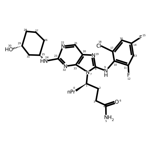 CCC[C@H](CCC(N)=O)n1c(Nc2c(F)cc(F)cc2Cl)nc2cnc(N[C@H]3CCC[C@@H](O)C3)nc21